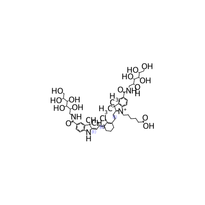 CC1(C)C(/C=C/C2=C(Cl)C(=C/C=C3/Nc4ccc(C(=O)NCC(O)C(O)C(O)C(O)CO)cc4C3(C)C)/CCC2)=[N+](CCCCCC(=O)O)c2ccc(C(=O)NCC(O)C(O)C(O)C(O)CO)cc21